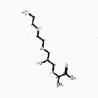 CCCOCCOCC(O)CSC(C)C(=O)O